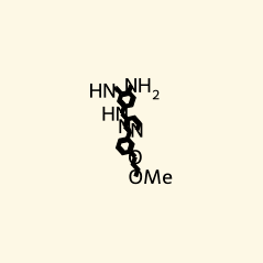 COCCOc1cccc(-c2nccc(Nc3ccc(N)c(C=N)c3)n2)c1